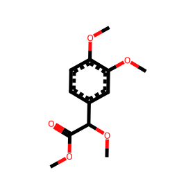 COC(=O)C(OC)c1ccc(OC)c(OC)c1